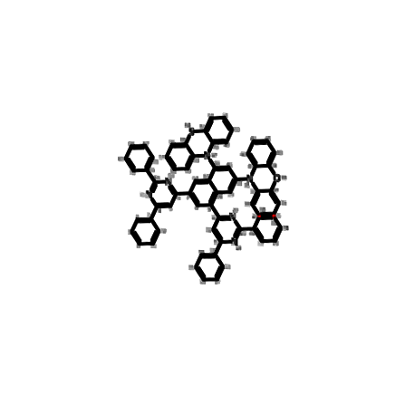 c1ccc(-c2cc(-c3cc(-c4cc(-c5ccccc5)nc(-c5ccccc5)n4)c4cc(N5c6ccccc6Oc6ccccc65)cc(N5c6ccccc6Sc6ccccc65)c4c3)nc(-c3ccccc3)n2)cc1